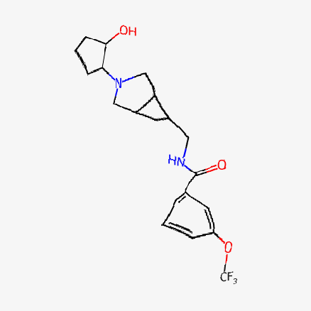 O=C(NCC1C2CN(C3CCCC3O)CC12)c1cccc(OC(F)(F)F)c1